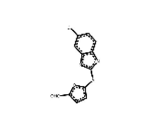 O=Cc1ccc(Sc2nc3ccc(Cl)cc3[nH]2)o1